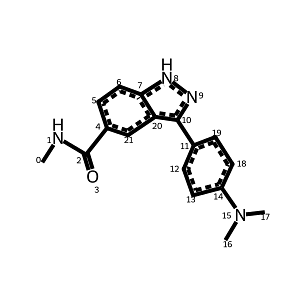 CNC(=O)c1ccc2[nH]nc(-c3ccc(N(C)C)cc3)c2c1